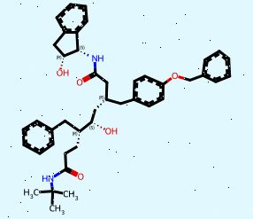 CC(C)(C)NC(=O)CC[C@H](Cc1ccccc1)[C@@H](O)C[C@H](CC(=O)N[C@H]1c2ccccc2C[C@H]1O)Cc1ccc(OCc2ccccc2)cc1